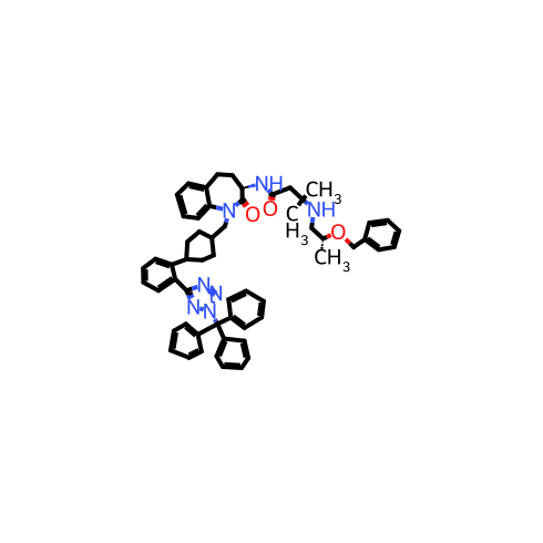 C[C@H](CNC(C)(C)CC(=O)N[C@@H]1CCc2ccccc2N(CC2CCC(c3ccccc3-c3nnn(C(c4ccccc4)(c4ccccc4)c4ccccc4)n3)CC2)C1=O)OCc1ccccc1